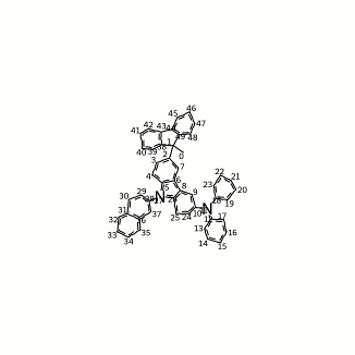 CC1(c2ccc3c(c2)c2cc(N(c4ccccc4)c4ccccc4)ccc2n3-c2ccc3ccccc3c2)c2ccccc2-c2ccccc21